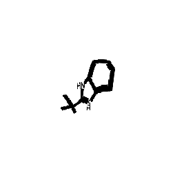 CC(C)(C)C1=[SH]c2ccccc2N1